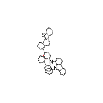 c1ccc(-c2ccccc2N(c2ccc(-c3cccc4c3ccc3c5ccccc5sc43)cc2)c2cccc3c4ccccc4n(-c4ccccc4)c23)cc1